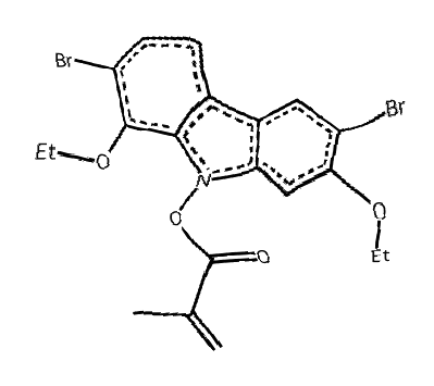 C=C(C)C(=O)On1c2cc(OCC)c(Br)cc2c2ccc(Br)c(OCC)c21